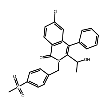 CC(O)c1c(-c2ccccc2)c2cc(Cl)ccc2c(=O)n1Cc1ccc(S(C)(=O)=O)cc1